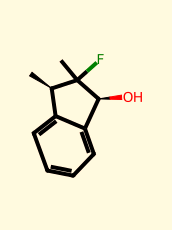 C[C@@H]1c2ccccc2[C@H](O)C1(C)F